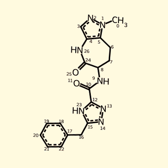 Cn1ncc2c1CCC(NC(=O)c1nnc(Cc3ccccc3)[nH]1)C(=O)N2